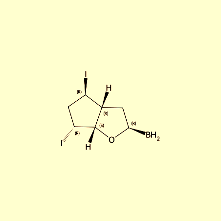 B[C@@H]1C[C@@H]2[C@H](O1)[C@H](I)C[C@H]2I